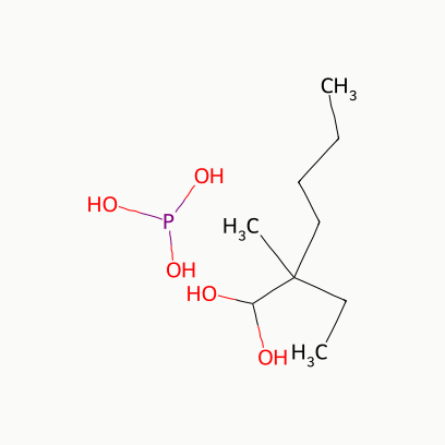 CCCCC(C)(CC)C(O)O.OP(O)O